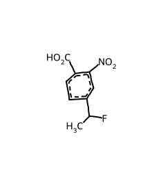 CC(F)c1ccc(C(=O)O)c([N+](=O)[O-])c1